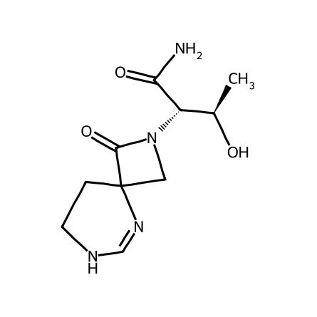 C[C@@H](O)[C@@H](C(N)=O)N1CC2(CCNC=N2)C1=O